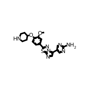 COc1cc(-c2nn3c(-c4cnc(N)nc4)cnc3s2)ccc1OC1CCNCC1